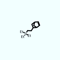 CC[Si](CC)(CC)CCC1CC2C=CC1C2